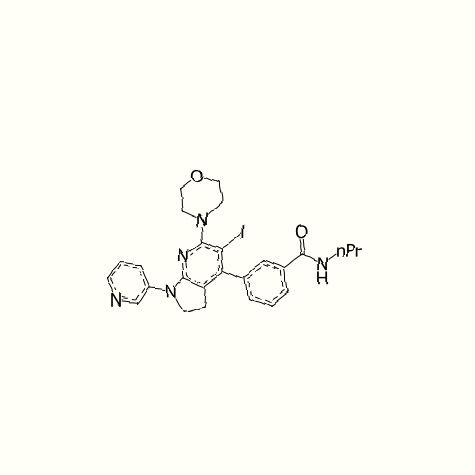 CCCNC(=O)c1cccc(-c2c(I)c(N3CCOCC3)nc3c2CCN3c2cccnc2)c1